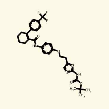 CC(C)(C)OC(=O)Nc1nc(CCOc2ccc(NC(=O)C3=C(c4ccc(C(F)(F)F)cc4)CCCC3)cc2)cs1